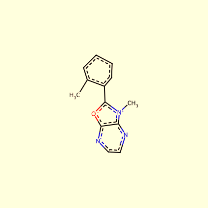 Cc1ccccc1-c1oc2nccnc2[n+]1C